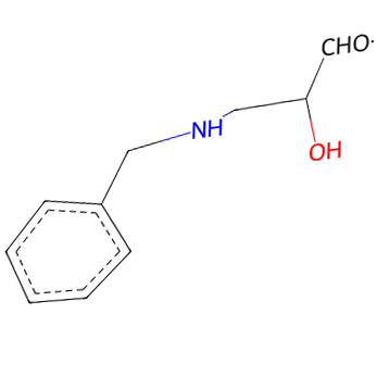 O=[C]C(O)CNCc1ccccc1